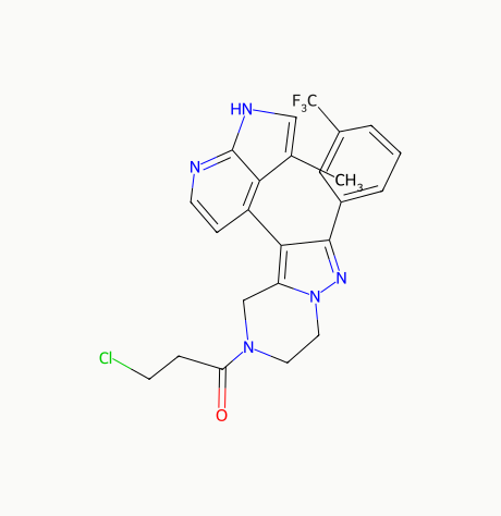 Cc1c[nH]c2nccc(-c3c(-c4cccc(C(F)(F)F)c4)nn4c3CN(C(=O)CCCl)CC4)c12